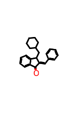 O=C1/C(=C/c2ccccc2)C(CC2CCCCC2)c2ccccc21